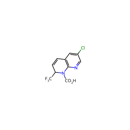 O=C(O)N1c2ncc(Cl)cc2C=CC1C(F)(F)F